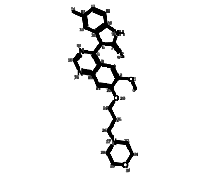 COc1cc2c(C3C(=S)Nc4ccc(C)cc43)ncnc2cc1OCCCN1CCOCC1